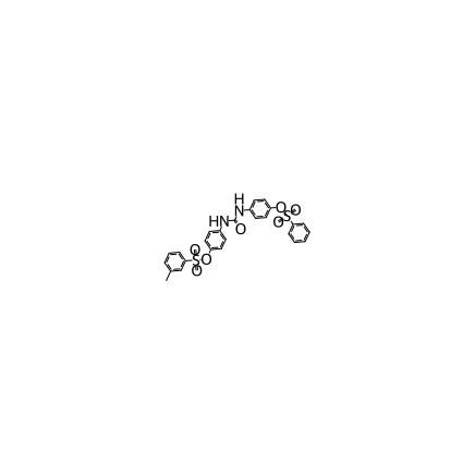 Cc1cccc(S(=O)(=O)Oc2ccc(NC(=O)Nc3ccc(OS(=O)(=O)c4ccccc4)cc3)cc2)c1